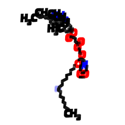 CCCCCCCC/C=C\CCCCCCCCOCC(CN1CCC2(CC1)OCCO2)OCCOC(=O)CCC(=O)O[C@H]1CCC2(C)C(=CCC3[C@@H]2CCC2(C)[C@H]3CCC2(N)[C@@H](C)CCCC(C)C)C1